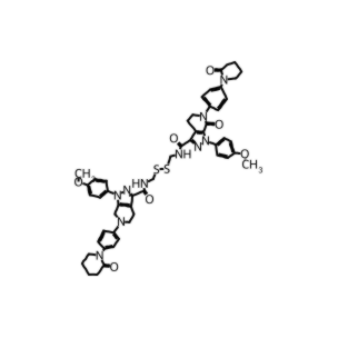 COc1ccc(-n2nc(C(=O)NCSSCNC(=O)c3nn(-c4ccc(OC)cc4)c4c3CCN(c3ccc(N5CCCCC5=O)cc3)C4=O)c3c2CN(c2ccc(N4CCCCC4=O)cc2)CC3)cc1